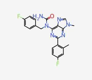 Cc1cc(F)ccc1-c1nc(N(Cc2ccc(F)cc2)C(N)=O)c2ncn(C)c2n1